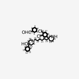 O=Cc1ccccc1.OC1(c2ccccc2)CCN(CCCCCCC2(c3ccc(Cl)c(Cl)c3)CCCNC2)CC1